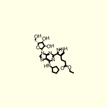 CCOC(=O)CCc1c[nH]nc1-c1nc(NC2CCCC2)c2ncn([C@@H]3O[C@H](CO)[C@@H](O)[C@H]3O)c2n1